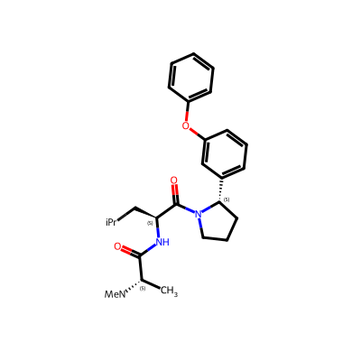 CN[C@@H](C)C(=O)N[C@@H](CC(C)C)C(=O)N1CCC[C@H]1c1cccc(Oc2ccccc2)c1